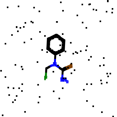 NC(=S)N(CF)c1ccccc1